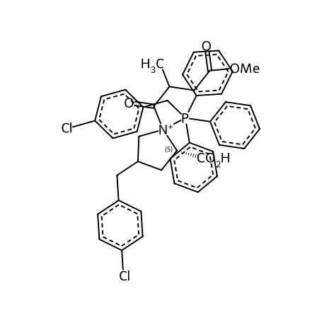 COC(=O)CC(C)C(=O)[N+]1(P(Cc2ccc(Cl)cc2)(c2ccccc2)(c2ccccc2)c2ccccc2)CC(Cc2ccc(Cl)cc2)C[C@H]1C(=O)O